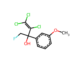 COc1cccc(C(O)(CF)C(Cl)=C(Cl)Cl)c1